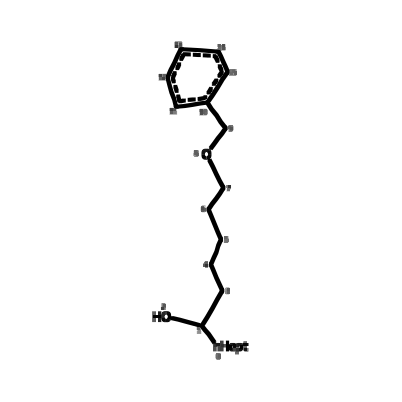 CCCCCCCC(O)CCCCCOCc1ccccc1